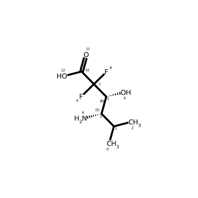 CC(C)[C@H](N)[C@@H](O)C(F)(F)C(=O)O